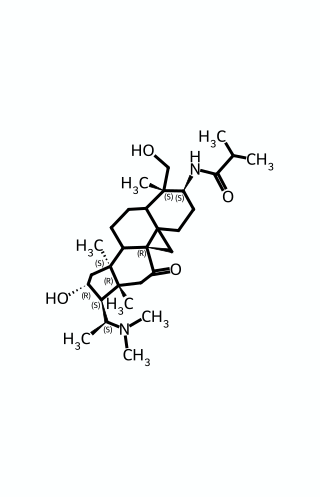 CC(C)C(=O)N[C@H]1CCC23C[C@]24C(=O)C[C@]2(C)[C@@H]([C@H](C)N(C)C)[C@H](O)C[C@@]2(C)C4CCC3[C@]1(C)CO